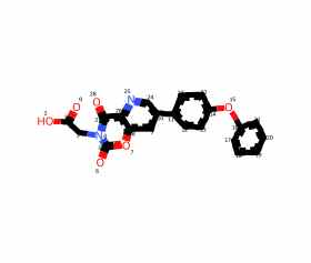 O=C(O)Cn1c(=O)oc2cc(-c3ccc(Oc4ccccc4)cc3)cnc2c1=O